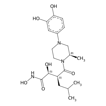 CC(C)C[C@H](C(=O)N1CCN(c2ccc(O)c(O)c2)C[C@H]1C)[C@H](O)C(=O)NO